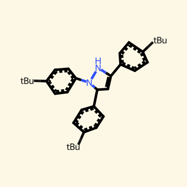 CC(C)(C)c1ccc(C2=CC(c3ccc(C(C)(C)C)cc3)N(c3ccc(C(C)(C)C)cc3)N2)cc1